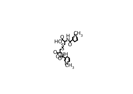 CN1C=CCC(C(=O)NC(CSSCC(NC(=O)C2=CN(C)C=CC2)C(=O)O)C(=O)O)=C1